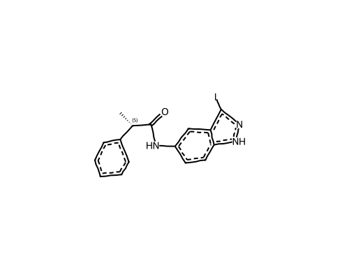 C[C@H](C(=O)Nc1ccc2[nH]nc(I)c2c1)c1ccccc1